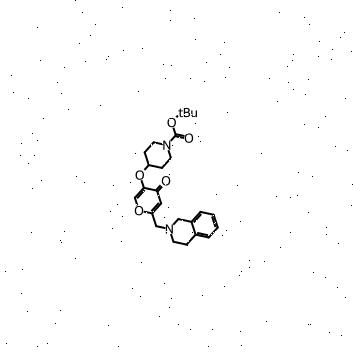 CC(C)(C)OC(=O)N1CCC(Oc2coc(CN3CCc4ccccc4C3)cc2=O)CC1